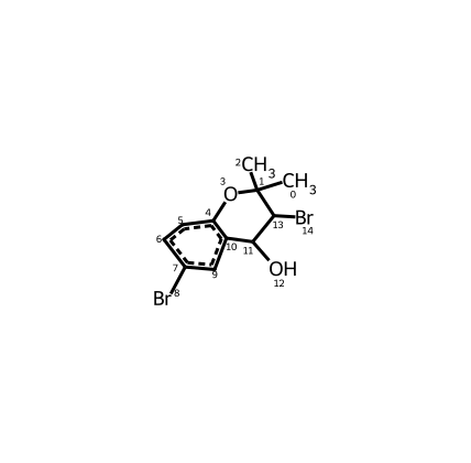 CC1(C)Oc2ccc(Br)cc2C(O)C1Br